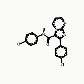 CN(C(=O)c1c(-c2ccc(Cl)cc2)nc2ncccn12)c1ccc(Cl)cc1